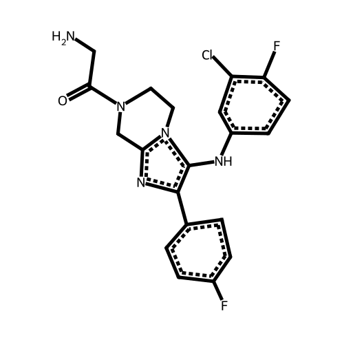 NCC(=O)N1CCn2c(nc(-c3ccc(F)cc3)c2Nc2ccc(F)c(Cl)c2)C1